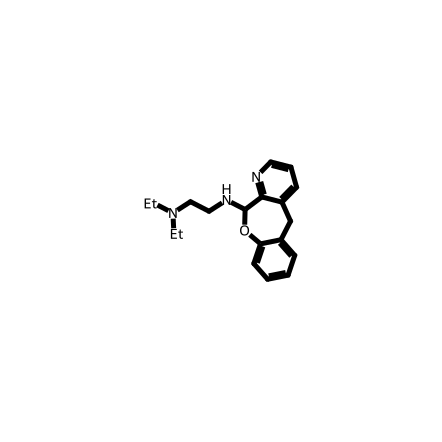 CCN(CC)CCNC1Oc2ccccc2Cc2cccnc21